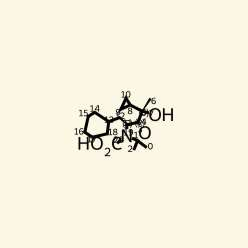 CC1(C)O[C@@H]([C@@](C)(O)C2CC2)[C@H](CC2CCCCC2)N1C(=O)O